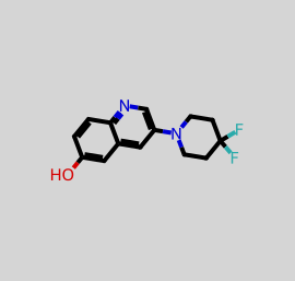 Oc1ccc2ncc(N3CCC(F)(F)CC3)cc2c1